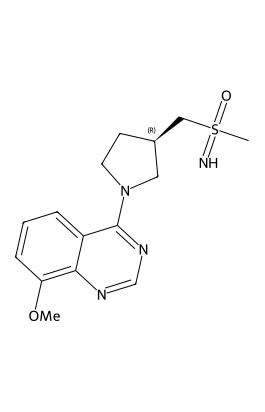 COc1cccc2c(N3CC[C@@H](CS(C)(=N)=O)C3)ncnc12